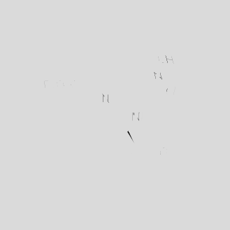 CCOC(=O)c1ccc(N(C)C)c(NC[C@@H]2CCO2)n1